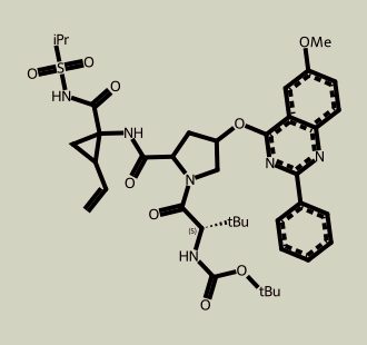 C=CC1CC1(NC(=O)C1CC(Oc2nc(-c3ccccc3)nc3ccc(OC)cc23)CN1C(=O)[C@@H](NC(=O)OC(C)(C)C)C(C)(C)C)C(=O)NS(=O)(=O)C(C)C